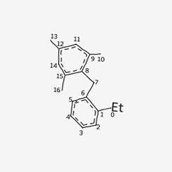 CCc1ccc[c]c1Cc1c(C)cc(C)cc1C